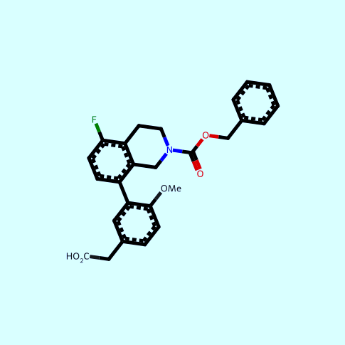 COc1ccc(CC(=O)O)cc1-c1ccc(F)c2c1CN(C(=O)OCc1ccccc1)CC2